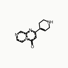 O=c1cc(C2=CCNCC2)nc2cnccn12